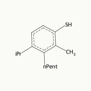 CCCCCc1c(C(C)C)ccc(S)c1C